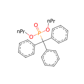 CCCOP(=O)(OCCC)C(c1ccccc1)(c1ccccc1)c1ccccc1